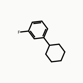 Fc1cccc([C]2CCCCC2)c1